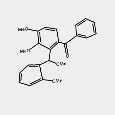 COc1ccccc1C(OC)c1c(C(=O)c2ccccc2)ccc(OC)c1OC